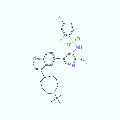 COc1ncc(-c2ccc3nccc(C4CCCC(C(C)(C)C)CCC4)c3c2)cc1NS(=O)(=O)c1ccc(F)cc1F